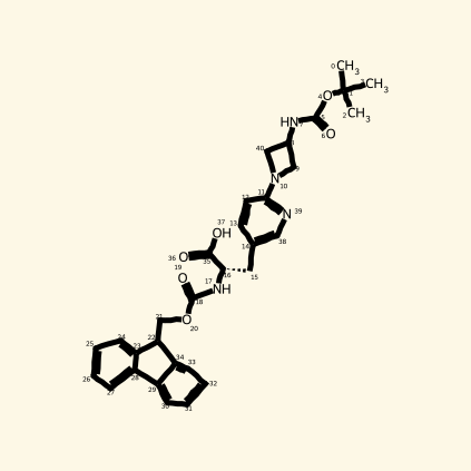 CC(C)(C)OC(=O)NC1CN(c2ccc(C[C@H](NC(=O)OCC3c4ccccc4-c4ccccc43)C(=O)O)cn2)C1